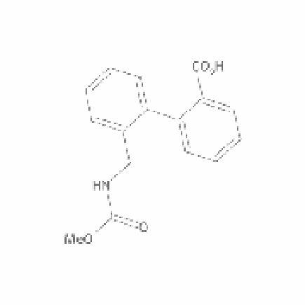 COC(=O)NCc1ccccc1-c1ccccc1C(=O)O